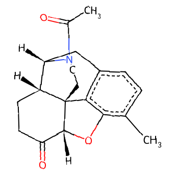 CC(=O)N1CC[C@@]23c4c5ccc(C)c4O[C@@H]2C(=O)CC[C@@H]3[C@@H]1C5